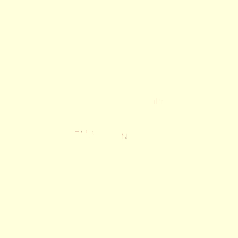 Cc1cc(C(C)C)cnc1C(=O)O